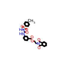 Cc1ccc(S(=O)(=O)NC(=O)Nc2cccc(C(=O)OCCN3C(=O)c4ccccc4C3=O)c2)cc1